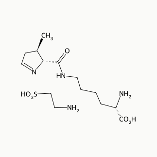 C[C@@H]1CC=N[C@H]1C(=O)NCCCC[C@H](N)C(=O)O.NCCS(=O)(=O)O